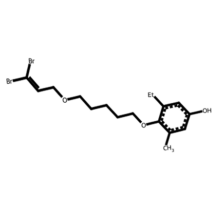 CCc1cc(O)cc(C)c1OCCCCCOCC=C(Br)Br